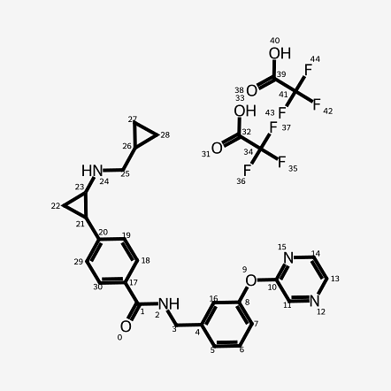 O=C(NCc1cccc(Oc2cnccn2)c1)c1ccc(C2CC2NCC2CC2)cc1.O=C(O)C(F)(F)F.O=C(O)C(F)(F)F